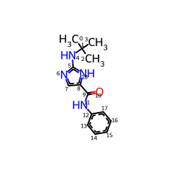 CC(C)(C)Nc1ncc(C(=O)Nc2ccccc2)[nH]1